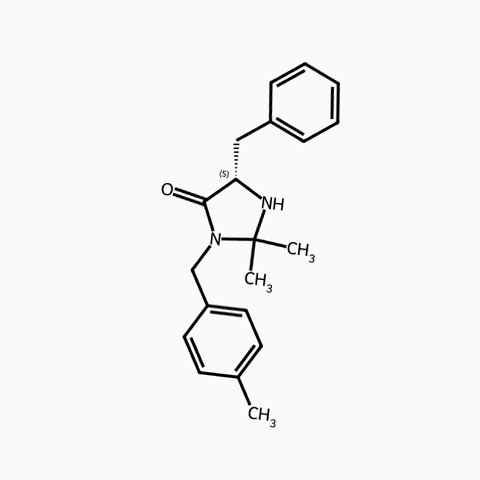 Cc1ccc(CN2C(=O)[C@H](Cc3ccccc3)NC2(C)C)cc1